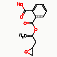 C=C(CC1CO1)OC(=O)c1ccccc1C(=O)O